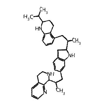 CC(C)C1CCc2c(CC(C)C3Cc4ccc(CC(C)C5NCCc6cccnc65)cc4N3)cccc2N1